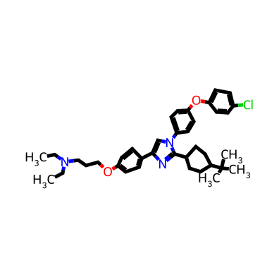 CCN(CC)CCCOc1ccc(-c2cn(-c3ccc(Oc4ccc(Cl)cc4)cc3)c(C3CCC(C(C)(C)C)CC3)n2)cc1